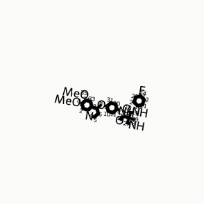 COc1cc2nccc(Oc3ccc(NC(=O)C4(C(=O)Nc5ccc(F)cc5)CNC4)cc3)c2cc1OC